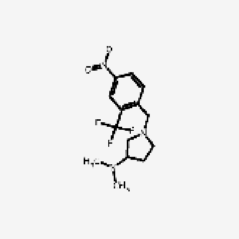 CN(C)C1CCN(Cc2ccc([N+](=O)[O-])cc2C(F)(F)F)C1